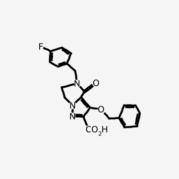 O=C(O)c1nn2c(c1OCc1ccccc1)C(=O)N(Cc1ccc(F)cc1)CC2